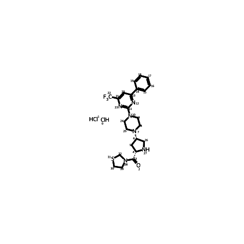 Cl.Cl.O=C([C@@H]1C[C@H](N2CCN(c3nc(-c4ccccc4)cc(C(F)(F)F)n3)CC2)CN1)N1CCSC1